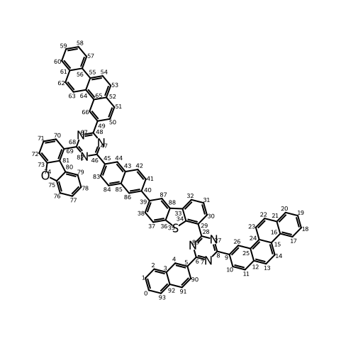 c1ccc2cc(-c3nc(-c4ccc5ccc6c7ccccc7ccc6c5c4)nc(-c4cccc5c4sc4ccc(-c6ccc7cc(-c8nc(-c9ccc%10ccc%11c%12ccccc%12ccc%11c%10c9)nc(-c9cccc%10oc%11ccccc%11c9%10)n8)ccc7c6)cc45)n3)ccc2c1